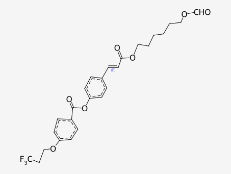 O=COCCCCCCOC(=O)/C=C/c1ccc(OC(=O)c2ccc(OCCC(F)(F)F)cc2)cc1